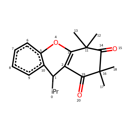 CC(C)C1C2=C(Oc3ccccc31)C(C)(C)C(=O)C(C)(C)C2=O